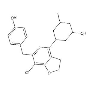 CC1CC(O)CC(c2cc(Cc3ccc(O)cc3)c(Cl)c3c2CCO3)C1